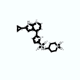 O=S1(=O)CCC(NS(=O)(=O)c2ccc(-c3ccnc4[nH]c(C5CC5)cc34)s2)CC1